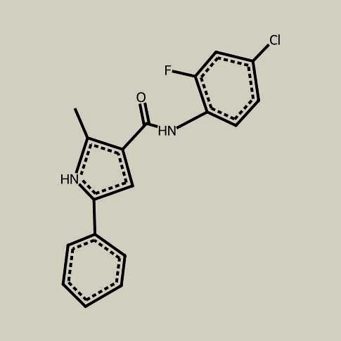 Cc1[nH]c(-c2ccccc2)cc1C(=O)Nc1ccc(Cl)cc1F